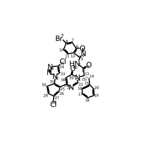 O=C(Nc1noc2cc(Br)ccc12)[C@H](Cc1ccccc1)n1cnc(-c2cc(Cl)ccc2-n2cc(Cl)nn2)cc1=O